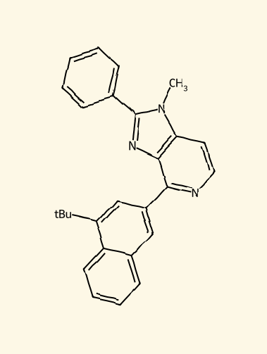 Cn1c(-c2ccccc2)nc2c(-c3cc(C(C)(C)C)c4ccccc4c3)nccc21